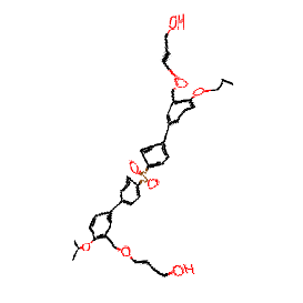 CCCOc1ccc(-c2ccc(S(=O)(=O)c3ccc(-c4ccc(OC(C)C)c(COCCCO)c4)cc3)cc2)cc1COCCCO